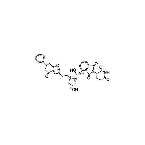 O=C1CCC(N2C(=O)c3cccc(NC(O)[C@@H]4C[C@H](O)CN4CCNC=C4C(=O)CC(c5ccccc5)CC4=O)c3C2=O)C(=O)N1